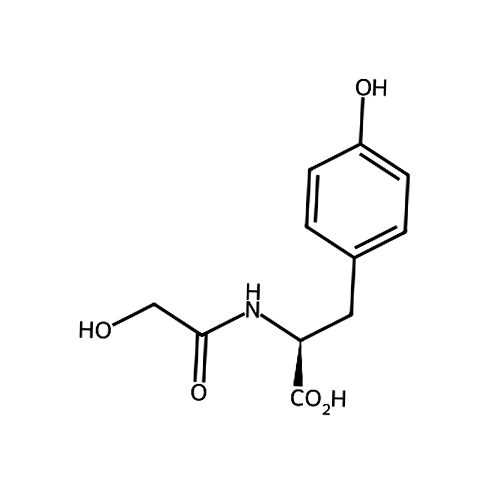 O=C(CO)N[C@@H](Cc1ccc(O)cc1)C(=O)O